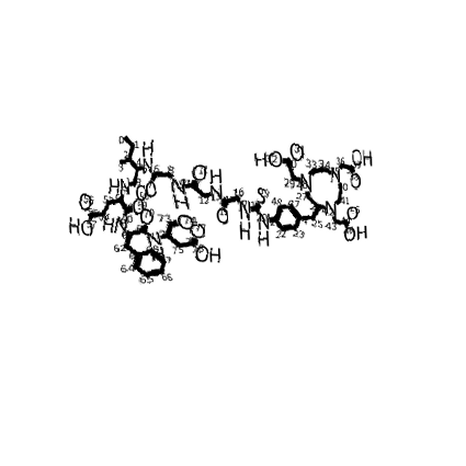 CCC(C)C(NC(=O)CNC(=O)CNC(=O)CNC(=S)Nc1ccc(CC2CN(CC(=O)O)CCN(CC(=O)O)CCN2CC(=O)O)cc1)C(=O)NC(CCC(=O)O)C(=O)NC(Cc1ccccc1)C(=O)NC(C=O)CC(=O)O